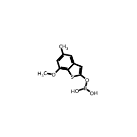 COc1cc(C)cc2cc(OB(O)O)sc12